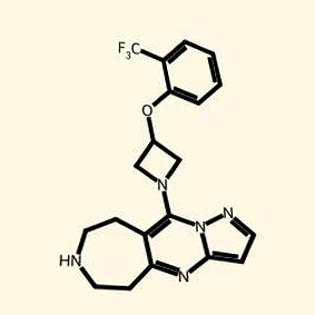 FC(F)(F)c1ccccc1OC1CN(c2c3c(nc4ccnn24)CCNCC3)C1